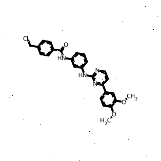 COc1ccc(-c2ccnc(Nc3cccc(NC(=O)c4ccc(CCl)cc4)c3)n2)cc1OC